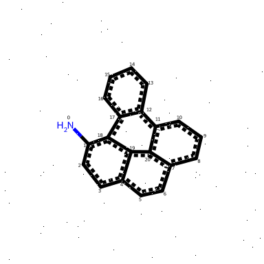 Nc1ccc2ccc3cccc4c5ccccc5c1c2c34